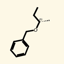 CC[C@H](C)OCc1ccccc1